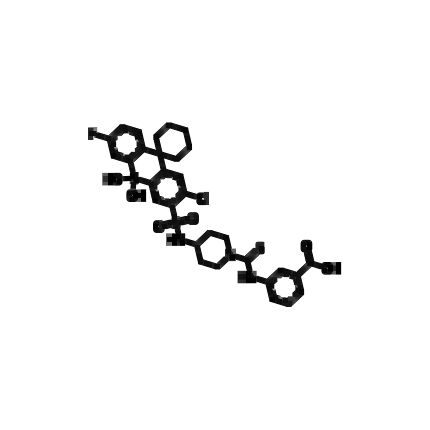 O=C(O)c1cccc(NC(=S)N2CCC(NS(=O)(=O)c3cc4c(cc3Cl)C3(CCCCC3)c3ccc(F)cc3S4(O)O)CC2)c1